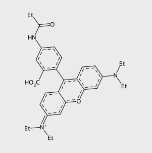 CCC(=O)Nc1ccc(-c2c3ccc(=[N+](CC)CC)cc-3oc3cc(N(CC)CC)ccc23)c(C(=O)O)c1